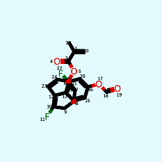 C=C(C)C(=O)OC1=C/CC/C(F)=C(c2ccc(OC=O)cc2F)/C=C\1